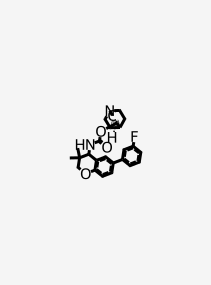 CC1(C)COc2ccc(-c3cccc(F)c3)cc2C1NC(=O)O[C@H]1CN2CCC1CC2